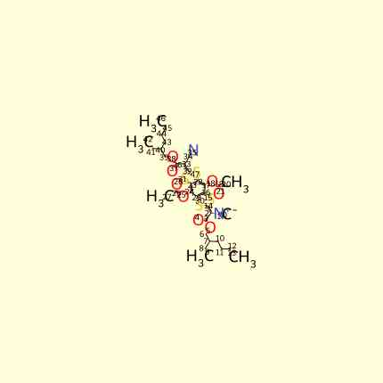 [C-]#[N+]C(C(=O)OCC(CC)CCCC)=C1Sc2c(OC(C)=O)c3c(c(OC(C)=O)c2S1)SC(=C(C#N)C(=O)OCC(CC)CCCC)S3